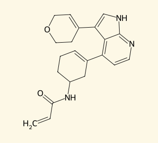 C=CC(=O)NC1CCC=C(c2ccnc3[nH]cc(C4=CCOCC4)c23)C1